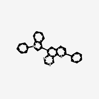 c1ccc(-c2ccc3cc(-c4cn(-c5ccccc5)c5ccccc45)c4ncncc4c3n2)cc1